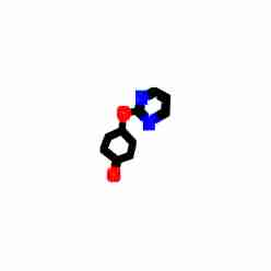 O=C1CCC(Oc2ncccn2)CC1